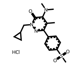 Cc1c(-c2ccc(S(C)(=O)=O)cc2)nn(CC2CC2)c(=O)c1N(C)C.Cl